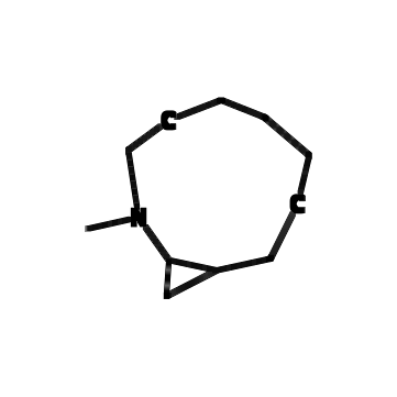 CN1CCCCCCCC2CC21